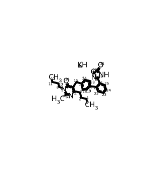 CCCCc1nc(C)n(CCCC)c(=O)c1Cc1ccc(-c2ccccc2-c2noc(=O)[nH]2)cc1.[KH]